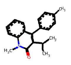 Cc1ccc(C2c3ccccc3N(C)C(=O)C2C(C)C)cc1